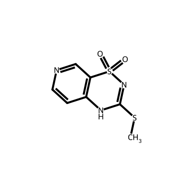 CSC1=NS(=O)(=O)c2cnccc2N1